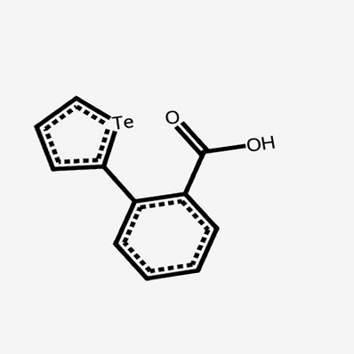 O=C(O)c1ccccc1-c1ccc[te]1